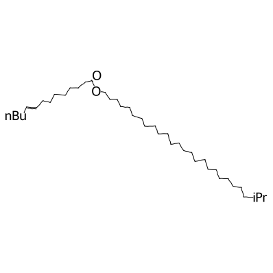 CCCCC=CCCCCCCCC(=O)OCCCCCCCCCCCCCCCCCCCCCCCCC(C)C